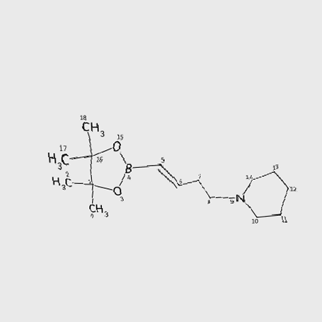 CC1(C)OB(C=CCCN2CCCCC2)OC1(C)C